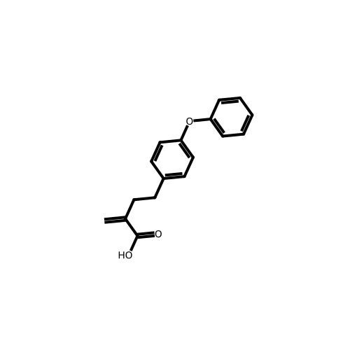 C=C(CCc1ccc(Oc2ccccc2)cc1)C(=O)O